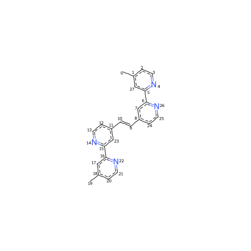 Cc1ccnc(-c2cc(C=Cc3ccnc(-c4cc(C)ccn4)c3)ccn2)c1